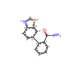 NC(=O)c1ccccc1-c1ccc2ncsc2c1